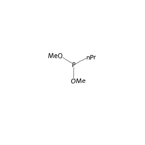 CCCP(OC)OC